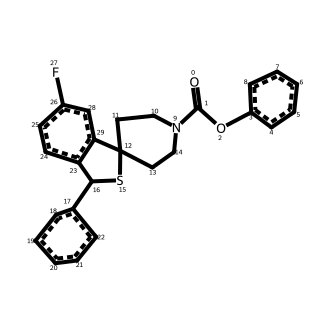 O=C(Oc1ccccc1)N1CCC2(CC1)SC(c1ccccc1)c1ccc(F)cc12